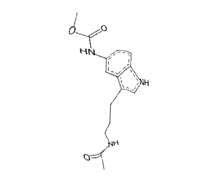 COC(=O)Nc1ccc2[nH]cc(CCCNC(C)=O)c2c1